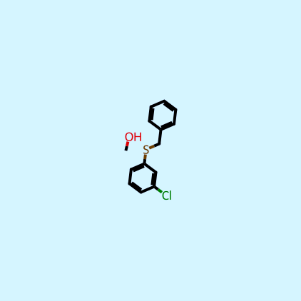 CO.Clc1cccc(SCc2ccccc2)c1